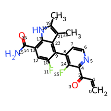 C=CC(=O)c1nccc(-c2c(F)cc(C(N)=O)c3[nH]c(C)c(C)c23)c1F